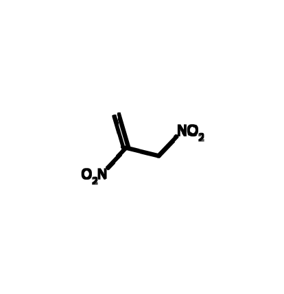 C=C(C[N+](=O)[O-])[N+](=O)[O-]